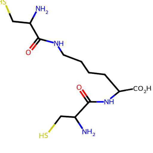 NC(CS)C(=O)NCCCCC(NC(=O)C(N)CS)C(=O)O